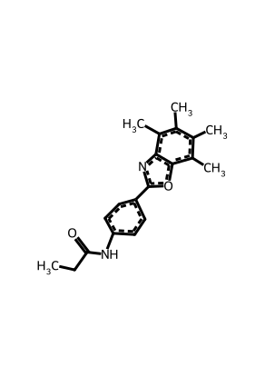 CCC(=O)Nc1ccc(-c2nc3c(C)c(C)c(C)c(C)c3o2)cc1